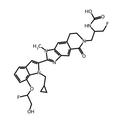 Cn1c(-c2cc3cccc(OC(F)CO)c3n2CC2CC2)nc2cc3c(cc21)CCN(CC(CF)NC(=O)O)C3=O